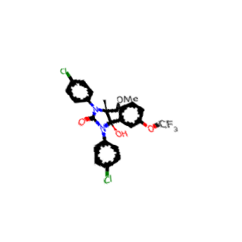 COC[C@@]1(C)N(c2ccc(Cl)cc2)C(=O)N(c2ccc(Cl)cc2)[C@@]1(O)c1cccc(OC(F)(F)F)c1